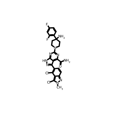 Cn1nc2ccc(-c3n[nH]c4nc(N5CCC(N)(c6ccc(F)cc6F)CC5)nc(C(N)=O)c34)c(Cl)c2c1Cl